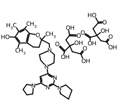 Cc1c(C)c2c(c(C)c1O)CCC(C)(CN1CCN(c3cc(N4CCCC4)nc(N4CCCC4)n3)CC1)O2.O=C(O)CC(O)(CC(=O)O)C(=O)O.O=C(O)CC(O)(CC(=O)O)C(=O)O